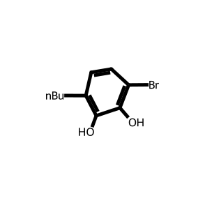 CCCCc1ccc(Br)c(O)c1O